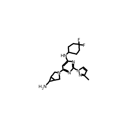 Cc1ccn(-c2nc(NC3CCC(F)(F)CC3)cc(N3CC4C(N)C4C3)n2)n1